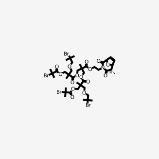 C[C@@H]1C(=O)N(CCOC(=O)C(C)(COC(=O)C(C)(COCC(C)(C)Br)COC(=O)C(C)(C)Br)COC(=O)C(C)(COCC(C)(C)Br)COC(=O)C(C)(C)Br)C(=O)C2C=CC1O2